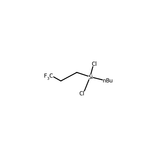 CCCC[Si](Cl)(Cl)CCC(F)(F)F